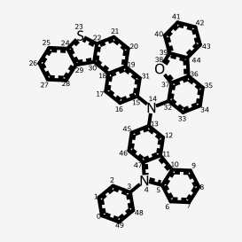 c1ccc(-n2c3ccccc3c3cc(N(c4ccc5c(ccc6sc7ccccc7c65)c4)c4cccc5c4oc4ccccc45)ccc32)cc1